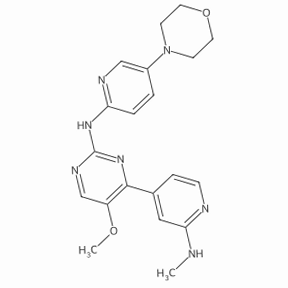 CNc1cc(-c2nc(Nc3ccc(N4CCOCC4)cn3)ncc2OC)ccn1